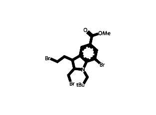 COC(=O)c1cc(Br)c2c(c1)C(CCBr)C(CBr)N2CC(C)(C)C